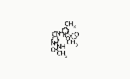 CO[C@@]1(c2cc(C)cc(-n3ccc4cnc(NC(C)=O)cc43)n2)CCOC1